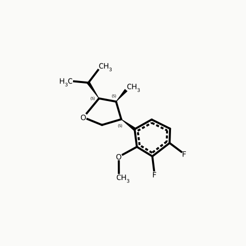 COc1c([C@H]2CO[C@@H](C(C)C)[C@H]2C)ccc(F)c1F